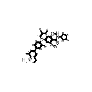 CC/C=C/C(=C\C(C)CN)c1ccc(N(/C=C(/C)CC)c2cc(OC)c(C(=O)NC3CCCC3)c(OC)c2)c(C)c1